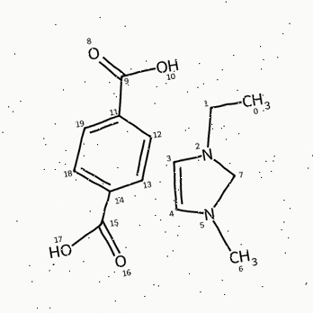 CCN1C=CN(C)C1.O=C(O)c1ccc(C(=O)O)cc1